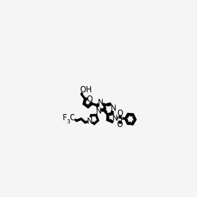 O=S(=O)(c1ccccc1)n1ccc2c1ncc1nc(-c3ccc(CO)o3)n([C@H]3CCN(CCCC(F)(F)F)C3)c12